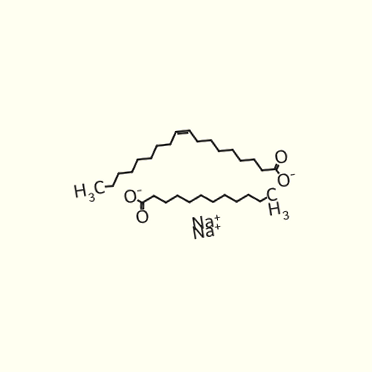 CCCCCCCC/C=C\CCCCCCCC(=O)[O-].CCCCCCCCCCCC(=O)[O-].[Na+].[Na+]